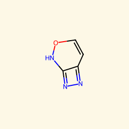 c1cc2nnc-2[nH]o1